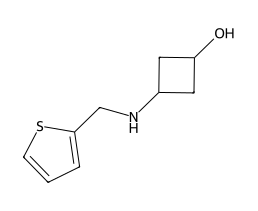 OC1CC(NCc2cccs2)C1